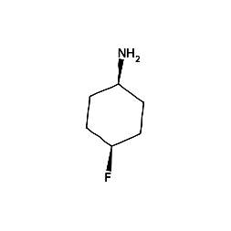 N[C@H]1CC[C@@H](F)CC1